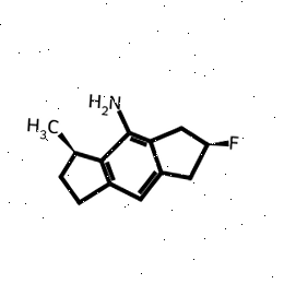 C[C@@H]1CCc2cc3c(c(N)c21)C[C@@H](F)C3